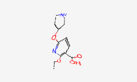 CCOc1nc(OC2CCNCC2)ccc1C(=O)O